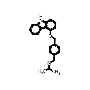 CC(C)NCc1ccc(COc2cccc3[nH]c4ccccc4c23)cc1